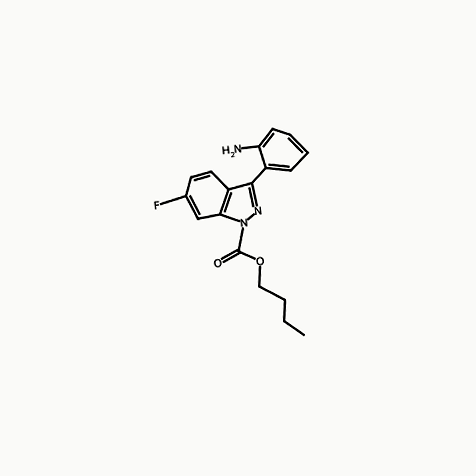 CCCCOC(=O)n1nc(-c2ccccc2N)c2ccc(F)cc21